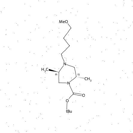 COCCCCN1C[C@H](C)N(C(=O)OC(C)(C)C)C[C@H]1C